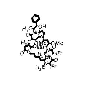 CC[C@H](C)[C@@H]([C@@H](CC(=O)N1CCC[C@H]1[C@H](OC)[C@@H](C)C(=O)N[C@H](C)[C@@H](O)c1ccccc1)OC)N(C)C(=O)[C@@H](NC(=O)C(C(C)C)N(C)C(=O)CCCCCN1C(=O)C=CC1=O)C(C)C